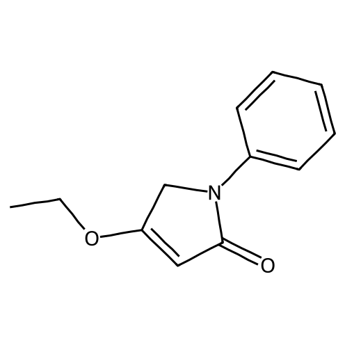 CCOC1=CC(=O)N(c2ccccc2)C1